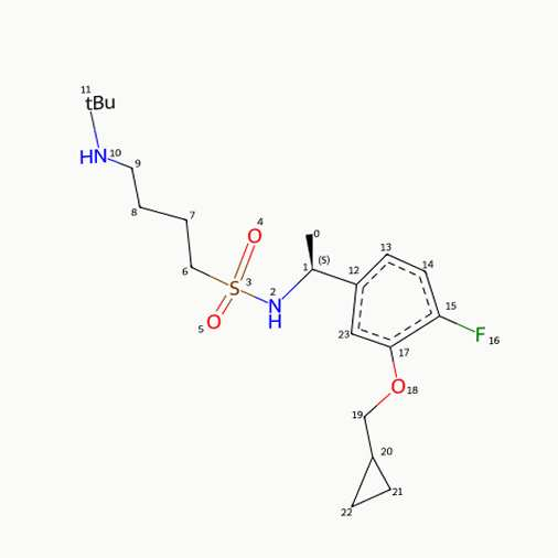 C[C@H](NS(=O)(=O)CCCCNC(C)(C)C)c1ccc(F)c(OCC2CC2)c1